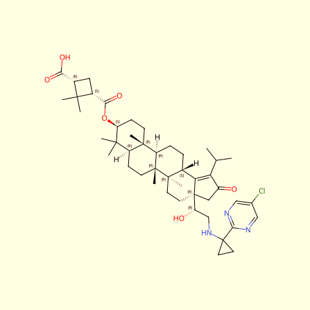 CC(C)C1=C2[C@H]3CC[C@@H]4[C@@]5(C)CC[C@H](OC(=O)[C@H]6C[C@@H](C(=O)O)C6(C)C)C(C)(C)[C@@H]5CC[C@@]4(C)[C@]3(C)CC[C@@]2([C@@H](O)CNC2(c3ncc(Cl)cn3)CC2)CC1=O